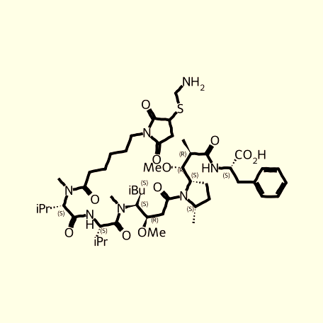 CC[C@H](C)[C@@H]([C@@H](CC(=O)N1[C@@H](C)CC[C@H]1[C@H](OC)[C@@H](C)C(=O)N[C@@H](Cc1ccccc1)C(=O)O)OC)N(C)C(=O)[C@@H](NC(=O)[C@H](C(C)C)N(C)C(=O)CCCCCN1C(=O)CC(SCN)C1=O)C(C)C